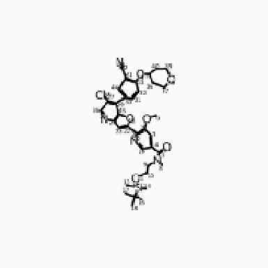 COc1cc(C(=O)N(C)CCO[Si](C)(C)C(C)(C)C)cnc1-c1cc2ncc(Cl)c(-c3ccc(OC4CCOCC4)c(C#N)c3)c2o1